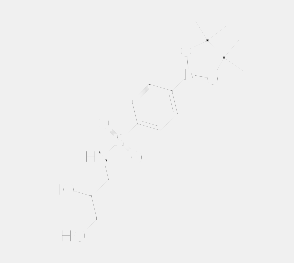 CC1(C)OB(c2ccc(S(=O)(=O)NCC(O)CO)cc2)OC1(C)C